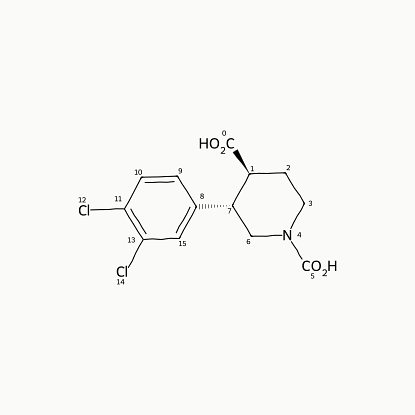 O=C(O)[C@H]1CCN(C(=O)O)C[C@@H]1c1ccc(Cl)c(Cl)c1